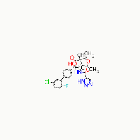 CC(C)OC(C)[C@](C)(C[C@@H](Cc1ccc(-c2cc(Cl)ccc2F)cc1)NC(=O)c1cnn[nH]1)C(=O)O